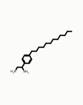 CCCCCCCCCCCCc1ccc(C(N)CN)cc1